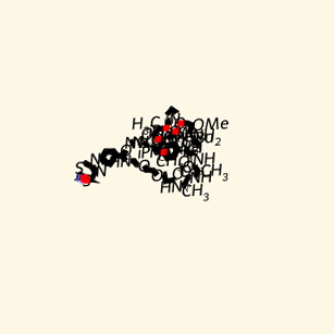 CC[C@H](C)[C@@H]([C@@H](CC(=O)N1CCC[C@H]1[C@H](OC)[C@@H](C)C(=O)N[C@H](CN=[N+]=[N-])Cc1ccc(NC(=O)[C@H](CC(N)=O)NC(=O)[C@H](C)NC(=O)[C@H](C)NC(=O)CCOCCOCCNC(=O)c2ccc3nc4c(nc3c2)CSC2=C(\C=C/C=C/C=C\2)SC4)cc1)OC)N(C)C(=O)[C@@H](NC(=O)[C@H](C(C)C)N(C)C)C(C)C